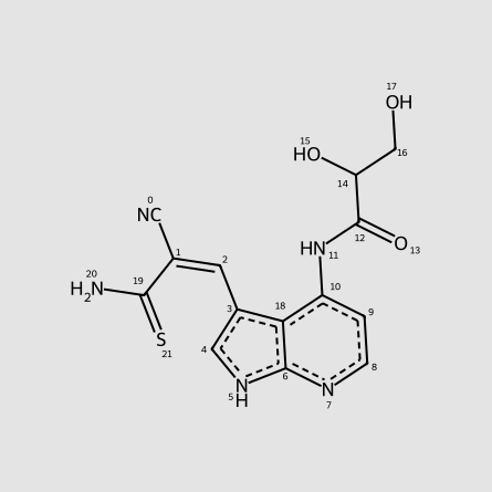 N#CC(=Cc1c[nH]c2nccc(NC(=O)C(O)CO)c12)C(N)=S